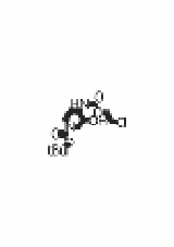 CC(C)(C)OC(=O)N1CCC(NC(=O)OCCCl)C(O)C1